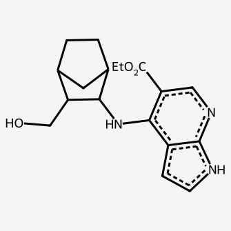 CCOC(=O)c1cnc2[nH]ccc2c1NC1C2CCC(C2)C1CO